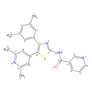 Cc1cc(C)cc(-c2nc(NC(=O)c3cccnc3)sc2-c2cc(C)nc(C)c2)c1